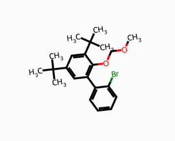 COCOc1c(-c2ccccc2Br)cc(C(C)(C)C)cc1C(C)(C)C